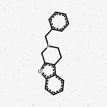 c1ccc(CN2CCc3c(oc4ccccc34)C2)cc1